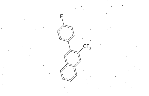 Fc1ccc(-c2cc3ccccc3cc2C(F)(F)F)cc1